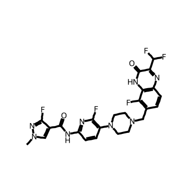 Cn1cc(C(=O)Nc2ccc(N3CCN(Cc4ccc5nc(C(F)F)c(=O)[nH]c5c4F)CC3)c(F)n2)c(F)n1